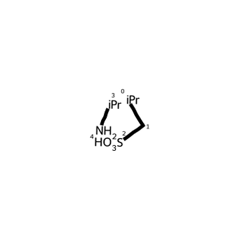 CC(C)CS(=O)(=O)O.CC(C)N